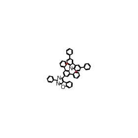 c1ccc(-c2ccc3c(c2)c2cc(-c4ccccc4)ccc2n3-c2c(-c3ccccc3)cc(-c3nc(-c4ccccc4)nc4oc5ccccc5c34)cc2-c2ccccc2)cc1